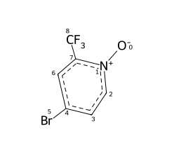 [O-][n+]1ccc(Br)cc1C(F)(F)F